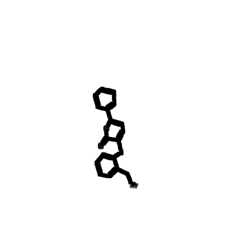 CC(C)Cc1ccccc1Sc1ccc(-c2ccccc2)oc1=O